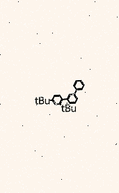 CC(C)(C)c1ccc(-c2[c]ccc(-c3ccccc3)c2)c(C(C)(C)C)c1